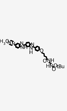 CN1CCN(c2ccc3[nH]c(-c4ccc5nc(-c6ccc(OCCCCC(=O)NCCNC(=O)OC(C)(C)C)cc6)[nH]c5c4)nc3c2)CC1